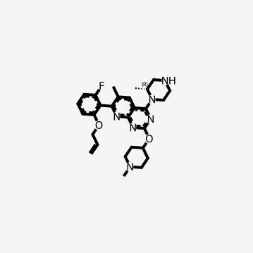 C=CCOc1cccc(F)c1-c1nc2nc(OC3CCN(C)CC3)nc(N3CCNC[C@H]3C)c2cc1C